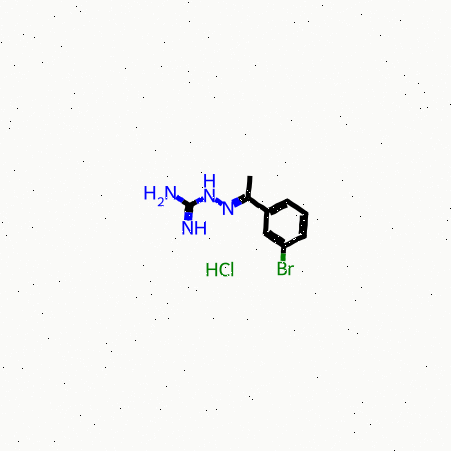 CC(=NNC(=N)N)c1cccc(Br)c1.Cl